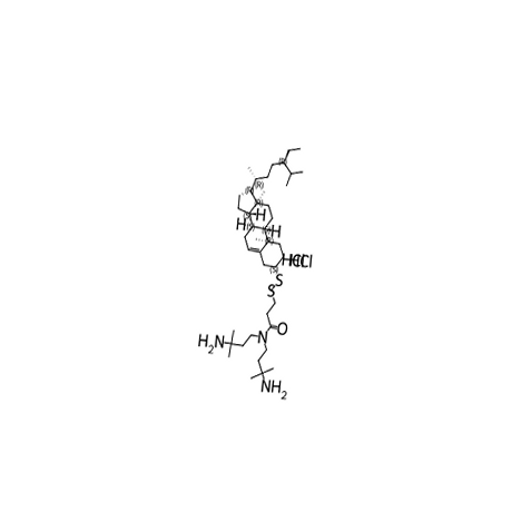 CC[C@H](CC[C@@H](C)[C@H]1CC[C@H]2[C@@H]3CC=C4C[C@@H](SSCCC(=O)N(CCC(C)(C)N)CCC(C)(C)N)CC[C@]4(C)[C@H]3CC[C@]12C)C(C)C.Cl.Cl